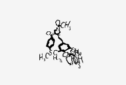 CSc1ccc(C(=O)[C@@H]2CN(C(C)=O)C[C@H]2CCc2cc(C)c(OC(C)(C)C(=O)O)c(C)c2)cc1